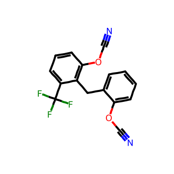 N#COc1ccccc1Cc1c(OC#N)cccc1C(F)(F)F